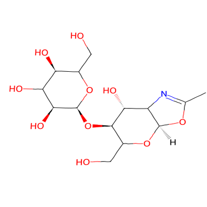 CC1=NC2[C@@H](O1)OC(CO)[C@@H](O[C@@H]1OC(CO)[C@H](O)C(O)[C@@H]1O)[C@@H]2O